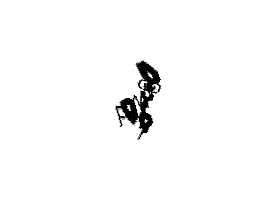 O=S(=O)(c1ccccc1)N1CCC(CC(=Nc2ccc(F)cc2)c2ccc(F)cc2)CC1